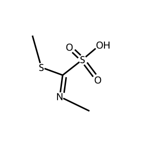 CN=C(SC)S(=O)(=O)O